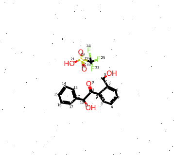 O=C(c1ccccc1CO)C(O)c1ccccc1.O=S(=O)(O)C(F)(F)F